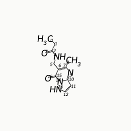 CCC(=O)NCc1c(C)nc2cc[nH]n2c1=O